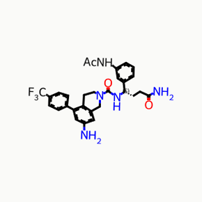 CC(=O)Nc1cccc([C@H](CCC(N)=O)NC(=O)N2CCc3c(cc(N)cc3-c3ccc(C(F)(F)F)cc3)C2)c1